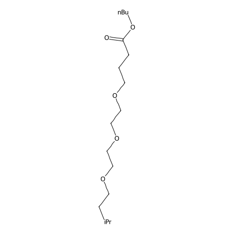 CCCCOC(=O)CCCOCCOCCOCCC(C)C